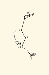 CC#N.CCCCCCCO